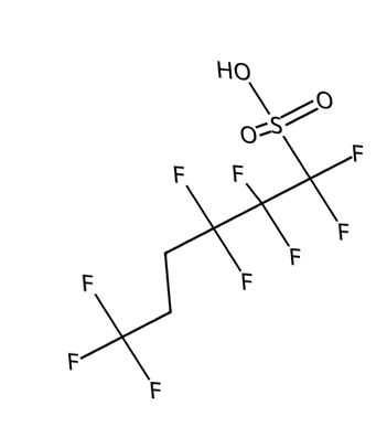 O=S(=O)(O)C(F)(F)C(F)(F)C(F)(F)CCC(F)(F)F